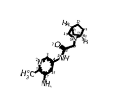 Cc1ncc(NC(=O)CN2C[C@H]3CC[C@@H]2C3)cc1N